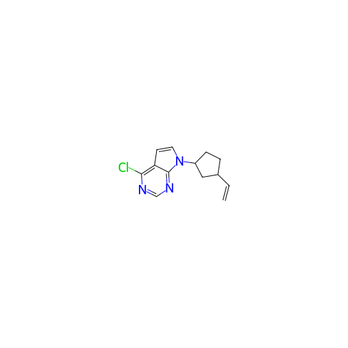 C=CC1CCC(n2ccc3c(Cl)ncnc32)C1